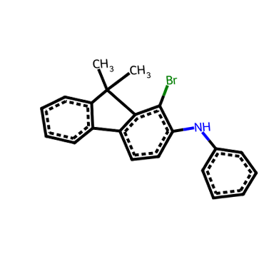 CC1(C)c2ccccc2-c2ccc(Nc3ccccc3)c(Br)c21